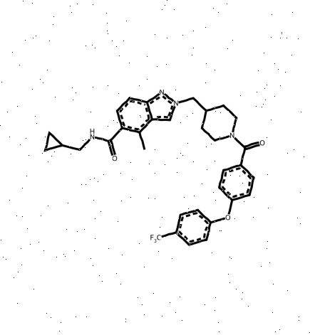 Cc1c(C(=O)NCC2CC2)ccc2nn(CC3CCN(C(=O)c4ccc(Oc5ccc(C(F)(F)F)cc5)cc4)CC3)cc12